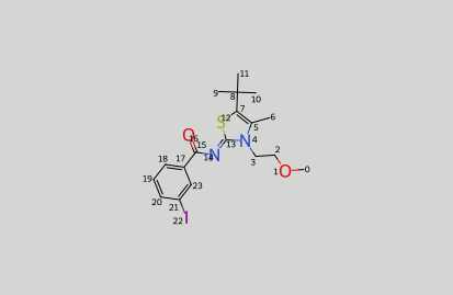 COCCn1c(C)c(C(C)(C)C)s/c1=N\C(=O)c1cccc(I)c1